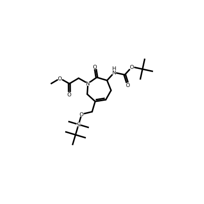 COC(=O)CN1CC(CO[Si](C)(C)C(C)(C)C)=CCC(NC(=O)OC(C)(C)C)C1=O